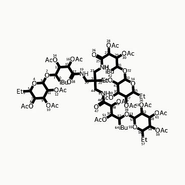 CCC(C)C(OC1OC(CC)C(OC(C)=O)C(OC(C)=O)C1OC(C)=O)C(OC(C)=O)C(OC(C)=O)C(=O)NCC(CC)(CNC(=O)C(OC(C)=O)C(OC(C)=O)C(OC1OC(CC)C(OC(C)=O)C(OC(C)=O)C1OC(C)=O)C(C)CC)CNC(=O)C(OC(C)=O)C(OC(C)=O)C(OC1OC(CC)C(OC(C)=O)C(OC(C)=O)C1OC(C)=O)C(C)CC